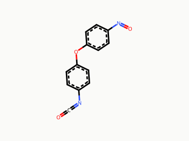 O=C=Nc1ccc(Oc2ccc(N=O)cc2)cc1